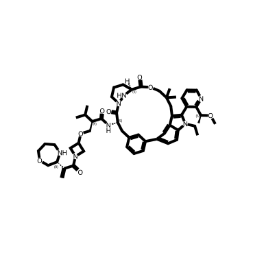 C=C(C(=O)N1CC(OC[C@H](C(=O)N[C@H]2Cc3cccc(c3)-c3ccc4c(c3)c(c(-c3cccnc3[C@H](C)OC)n4CC)CC(C)(C)COC(=O)[C@@H]3CCCN(N3)C2=O)C(C)C)C1)[C@@H]1COCCCN1